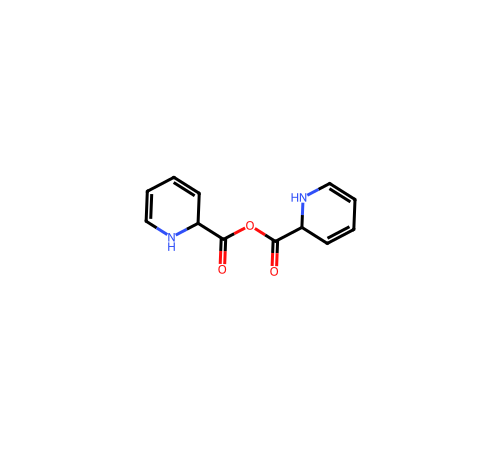 O=C(OC(=O)C1C=CC=CN1)C1C=CC=CN1